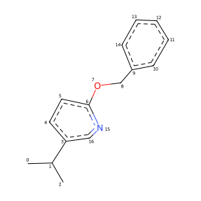 CC(C)c1ccc(OCc2ccccc2)nc1